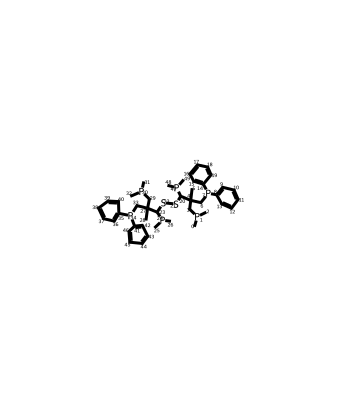 CP(C)CC(C)(CP(c1ccccc1)c1ccccc1)C(SSC(P(C)C)C(C)(CP(C)C)CP(c1ccccc1)c1ccccc1)P(C)C